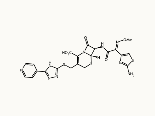 CON=C(C(=O)N[C@@H]1C(=O)N2C(C(=O)O)=C(CSc3nnc(-c4ccncc4)[nH]3)CS[C@@H]12)c1csc(N)n1